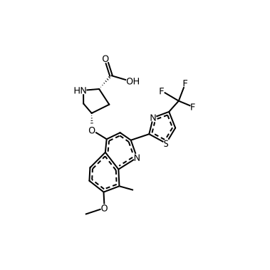 COc1ccc2c(O[C@@H]3CN[C@H](C(=O)O)C3)cc(-c3nc(C(F)(F)F)cs3)nc2c1C